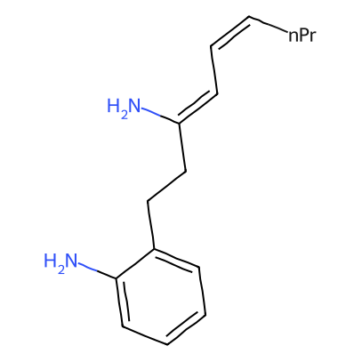 CCC/C=C\C=C(/N)CCc1ccccc1N